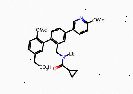 CCN(Cc1cc(-c2ccc(OC)nc2)ccc1-c1cc(CC(=O)O)ccc1OC)C(=O)C1CC1